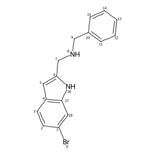 Brc1ccc2cc(CNCc3ccccc3)[nH]c2c1